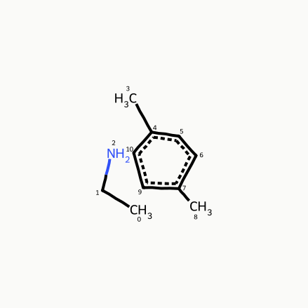 CCN.Cc1ccc(C)cc1